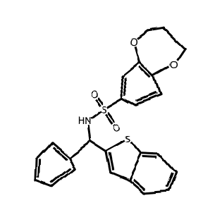 O=S(=O)(NC(c1ccccc1)c1cc2ccccc2s1)c1ccc2c(c1)OCCCO2